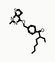 CCCCCC(CC)C(=O)c1ccc(COc2nc(C)nc3sccc23)cc1